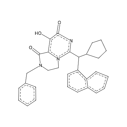 O=C1c2c(O)c(=O)nc(C(c3cccc4ccccc34)C3CCCC3)n2CCN1Cc1ccccc1